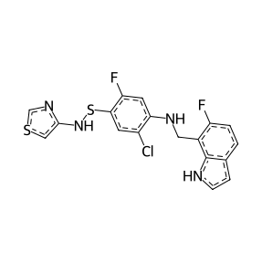 Fc1cc(NCc2c(F)ccc3cc[nH]c23)c(Cl)cc1SNc1cscn1